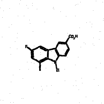 CCn1c2ccc(C(=O)O)cc2c2cc(F)cc(C)c21